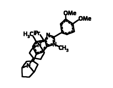 COc1ccc(-c2nc3c(C)cc(C4CC5CCC(C4)N5C4CCN(CC(C)C)CC4)cc3n2C)cc1OC